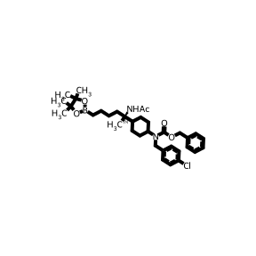 CC(=O)N[C@@](C)(CCCCB1OC(C)(C)C(C)(C)O1)C1CCC(N(Cc2ccc(Cl)cc2)C(=O)OCc2ccccc2)CC1